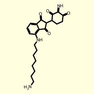 N=C1C(=O)CCC(C2C(=O)c3cccc(NCCCCCCCCN)c3C2=O)C1=O